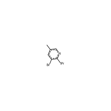 Cc1cnc(C(C)C)c(Br)c1